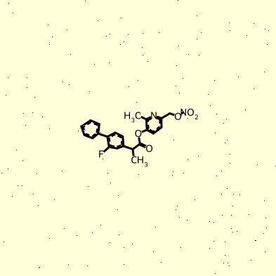 Cc1nc(CO[N+](=O)[O-])ccc1OC(=O)C(C)c1ccc(-c2ccccc2)c(F)c1